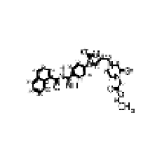 CCOC(=O)CN1CCN(CC2CN(c3ccc(C(=N)NC(=O)c4cccc5ccccc45)cc3)C(=O)O2)CC1=O